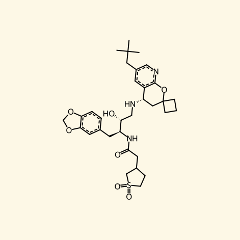 CC(C)(C)Cc1cnc2c(c1)[C@@H](NC[C@@H](O)[C@H](Cc1ccc3c(c1)OCO3)NC(=O)CC1CCS(=O)(=O)C1)CC1(CCC1)O2